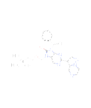 CC(c1ccccc1)n1c(=O)n(COCC[Si](C)(C)C)c2cnc(-c3cnn4ccncc34)nc21